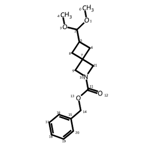 COC(OC)C1CC2(C1)CN(C(=O)OCc1ccccc1)C2